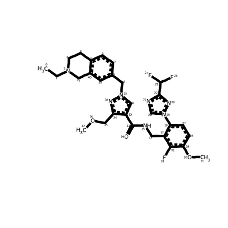 CCN1CCc2ccc(Cn3cc(C(=O)NCc4c(-n5cnc(C(F)F)n5)ccc(OC)c4F)c(COC)n3)cc2C1